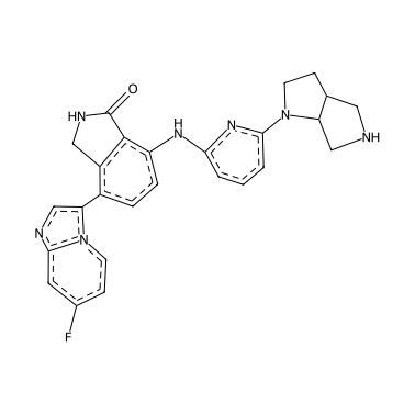 O=C1NCc2c(-c3cnc4cc(F)ccn34)ccc(Nc3cccc(N4CCC5CNCC54)n3)c21